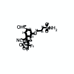 N#Cc1c(C(F)(F)P(=O)(O)O)sc2c(OCCCS(N)(=O)=O)cc(C=O)cc12